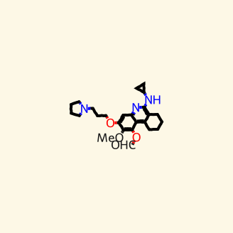 COc1c(OCCCN2CCCC2)cc2nc(NC3CC3)c3c(c2c1OC=O)CCCC3